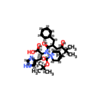 CC(C)(C)OC(=O)[N@+]1(N(C(=O)C(CC(=O)C(C)(C)C)Cc2ccccc2)[C@@H](Cc2c[nH]cn2)C(=O)O)C=CC=CC1